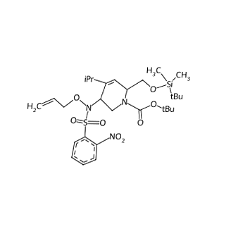 C=CCON(C1CN(C(=O)OC(C)(C)C)C(CO[Si](C)(C)C(C)(C)C)C=C1C(C)C)S(=O)(=O)c1ccccc1[N+](=O)[O-]